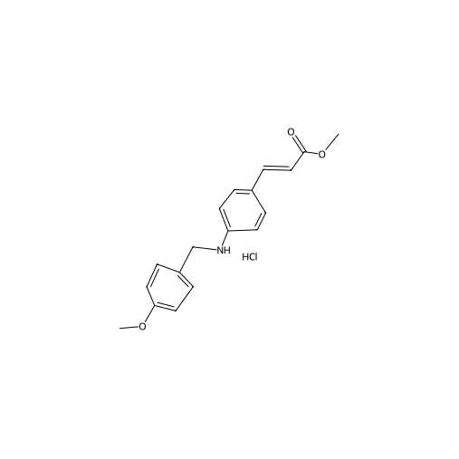 COC(=O)C=Cc1ccc(NCc2ccc(OC)cc2)cc1.Cl